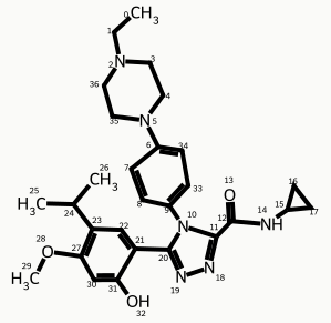 CCN1CCN(c2ccc(-n3c(C(=O)NC4CC4)nnc3-c3cc(C(C)C)c(OC)cc3O)cc2)CC1